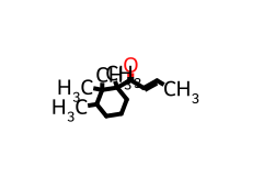 CC=CC(=O)C1(C)CCCC(C)C1(C)C